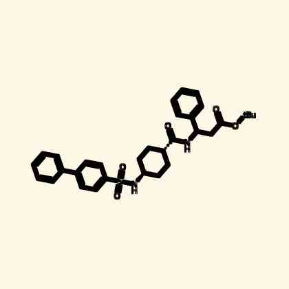 CC(C)(C)OC(=O)CC(NC(=O)[C@H]1CC[C@H](NS(=O)(=O)c2ccc(-c3ccccc3)cc2)CC1)c1ccccc1